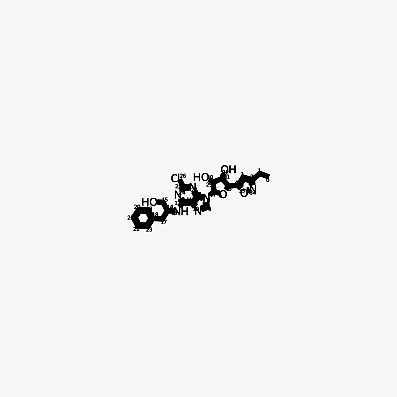 CCc1cc(C2OC(n3cnc4c(NC(CO)Cc5ccccc5)nc(Cl)nc43)C(O)C2O)on1